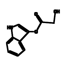 O=C(CO)Oc1c[nH]c2ccccc12